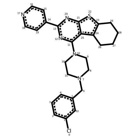 Clc1cccc(CN2CCN(c3nc(-c4ccncc4)nc4sc5c(c34)CCCC5)CC2)c1